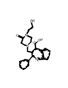 O=C(O)c1c(CN2CCN(CCO)C(=O)C2)c(-c2ccccc2)nc2ccccc12